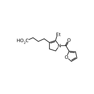 CCC1=C(CCCC(=O)O)CCN1C(=O)c1ccco1